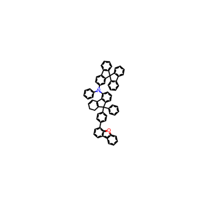 C1=CC2=C(CC1)C(c1ccccc1)(c1ccc(-c3cccc4c3oc3ccccc34)cc1)c1cccc(N(c3ccccc3)c3ccc4c(c3)C3(c5ccccc5-c5ccccc53)c3ccccc3-4)c12